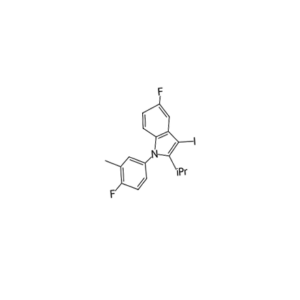 Cc1cc(-n2c(C(C)C)c(I)c3cc(F)ccc32)ccc1F